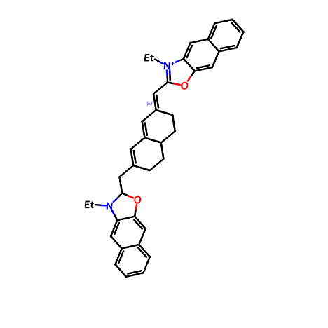 CCN1c2cc3ccccc3cc2OC1CC1=CC2=C/C(=C/c3oc4cc5ccccc5cc4[n+]3CC)CCC2CC1